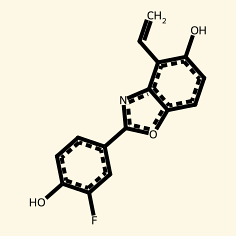 C=Cc1c(O)ccc2oc(-c3ccc(O)c(F)c3)nc12